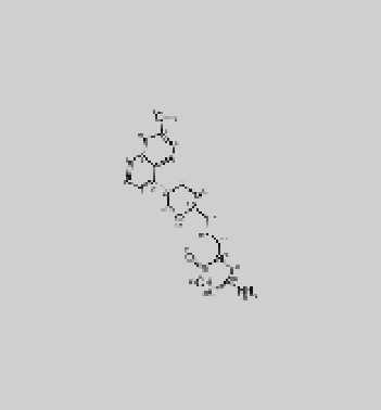 COc1ccc2c(cccc2[C@H]2CO[C@H](CCCN(CC(N)=O)C(=O)O)OC2)c1